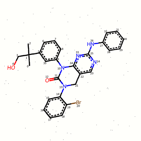 CC(C)(CO)c1cccc(N2C(=O)N(c3ccccc3Br)Cc3cnc(Nc4ccccc4)nc32)c1